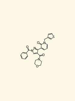 O=C(c1cn(C(=O)c2ccccc2)nc1-c1cccn(Cc2ccsc2)c1=O)N1CCOCC1